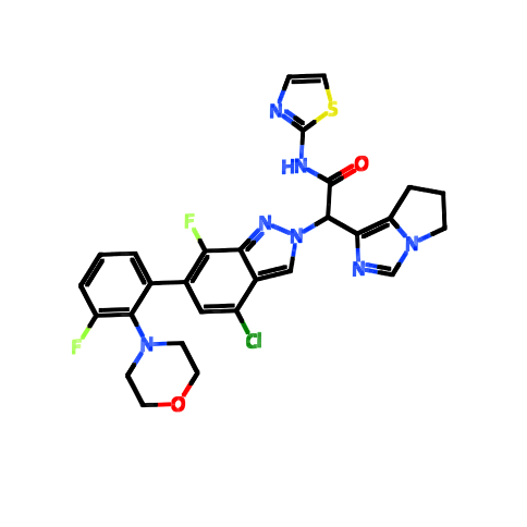 O=C(Nc1nccs1)C(c1ncn2c1CCC2)n1cc2c(Cl)cc(-c3cccc(F)c3N3CCOCC3)c(F)c2n1